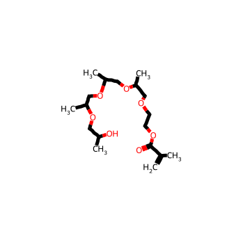 C=C(C)C(=O)OCCOCC(C)OCC(C)OCC(C)OCC(C)O